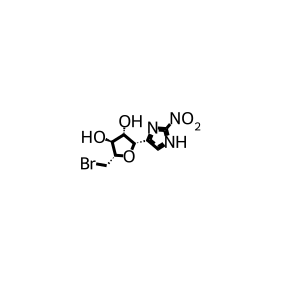 O=[N+]([O-])c1nc([C@@H]2O[C@H](CBr)[C@@H](O)[C@@H]2O)c[nH]1